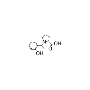 CC(c1ccccc1O)N1CCCC1C(=O)O